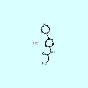 Cl.O=C(CO)Nc1ccc(-c2ccncc2)cc1